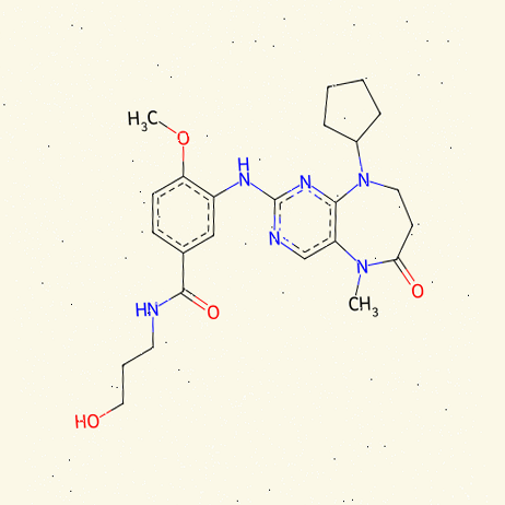 COc1ccc(C(=O)NCCCO)cc1Nc1ncc2c(n1)N(C1CCCC1)CCC(=O)N2C